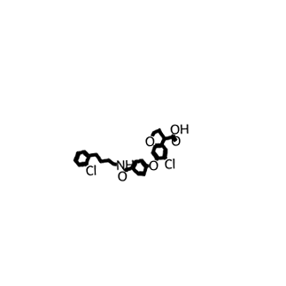 O=C(NCCCCc1ccccc1Cl)c1ccc(Oc2cc3c(cc2Cl)C(C(=O)O)CCO3)cc1